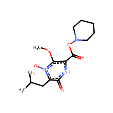 COc1c(C(=O)ON2CCCCC2)[nH]c(=O)c(CC(C)C)[n+]1[O-]